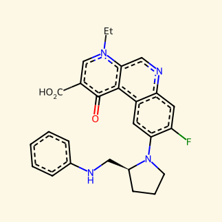 CCn1cc(C(=O)O)c(=O)c2c3cc(N4CCC[C@H]4CNc4ccccc4)c(F)cc3ncc21